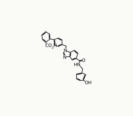 O=C(NCc1cccc(O)c1)c1ccc2c(c1)ncn2Cc1ccc(-c2ccccc2C(=O)O)cc1